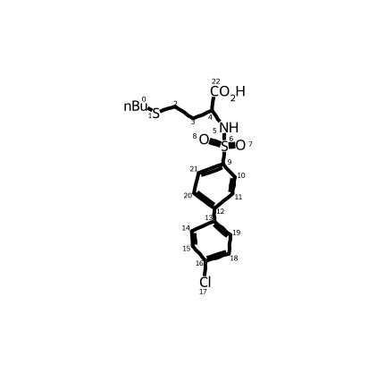 CCCCSCCC(NS(=O)(=O)c1ccc(-c2ccc(Cl)cc2)cc1)C(=O)O